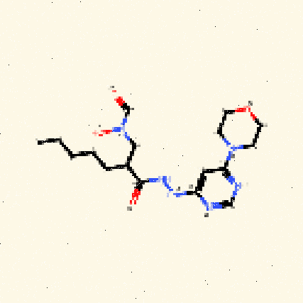 CCCCCC(CN(O)C=O)C(=O)NNc1cc(N2CCOCC2)ncn1